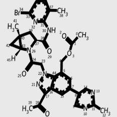 CC(=O)OCc1cc(-c2cnc(C)nc2)cc2c(C(C)=O)nn(CC(=O)N3[C@H](C(=O)Nc4nc(Br)ccc4C)C[C@@]4(C)C[C@@H]34)c12